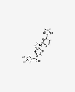 O[C@H](c1cnc2c(ccn2-c2cccc(-c3nnc[nH]3)c2)n1)C1CC(F)(F)C1